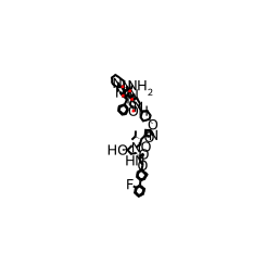 CC(C)[C@@H](C(=O)N1C[C@H](O)C[C@H]1C(=O)NOc1ccc(-c2ccccc2F)cc1)c1cc(O[C@H]2CC[C@H](N3CCC(c4cnc(N5C6CCC5CN(c5cc(-c7ccccc7O)nnc5N)C6)nc4)CC3)CC2)no1